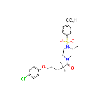 CC1CN(C(=O)C(C)(C)CCCOc2ccc(Cl)cc2)CCN1S(=O)(=O)c1ccc(C(=O)O)cc1